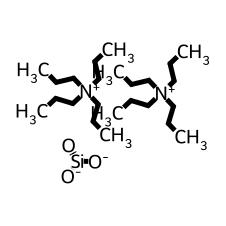 CCC[N+](CCC)(CCC)CCC.CCC[N+](CCC)(CCC)CCC.O=[Si]([O-])[O-]